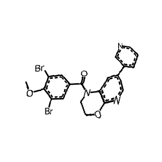 COc1c(Br)cc(C(=O)N2CCOc3ncc(-c4cccnc4)cc32)cc1Br